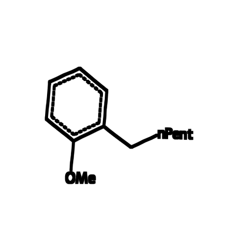 [CH2]Oc1ccccc1CCCCCC